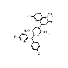 C[C@@H]1CN(c2cc(=O)n(C)c3ccc(C#N)nc23)[C@@H](C)CN1C(c1ccc(Cl)cc1)c1ccc(F)cn1